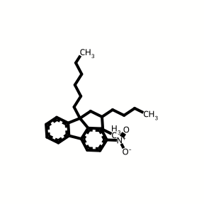 CCCCCCC1(CC(CC)CCCC)c2ccccc2-c2ccc([N+](=O)[O-])cc21